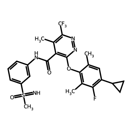 Cc1cc(C2CC2)c(F)c(C)c1Oc1nnc(C(F)(F)F)c(C)c1C(=O)Nc1cccc(S(C)(=N)=O)c1